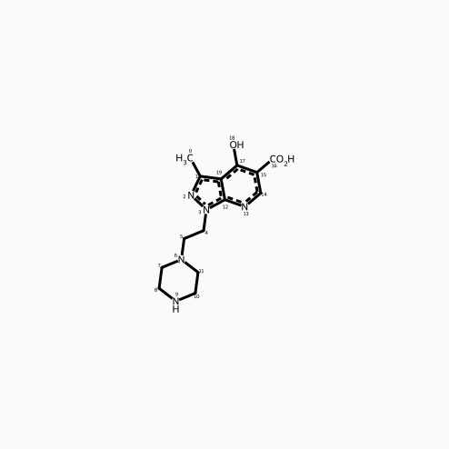 Cc1nn(CCN2CCNCC2)c2ncc(C(=O)O)c(O)c12